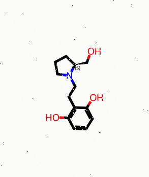 OC[C@@H]1CCCN1CCc1c(O)cccc1O